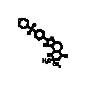 CC1(C)CC(=O)C2=C(N1)c1[nH]c(-c3ccc(S(=O)(=O)N4CCOCC4)cc3)nc1CC2